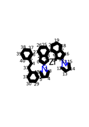 C1=C(n2cccc2)[CH]([Zr][CH]2C(n3cccc3)=Cc3ccccc32)c2ccccc21.c1ccc(CCc2ccccc2)cc1